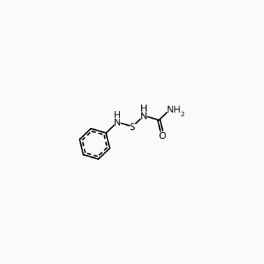 NC(=O)NSNc1ccccc1